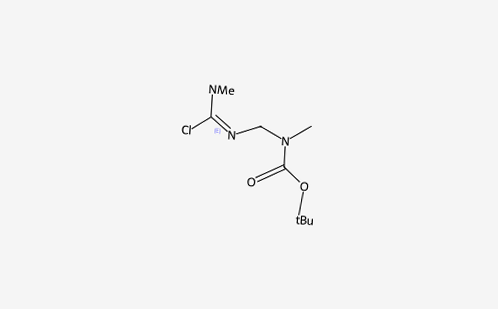 CN/C(Cl)=N\CN(C)C(=O)OC(C)(C)C